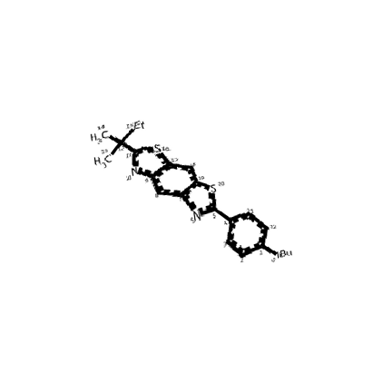 CCC(C)c1ccc(-c2nc3cc4nc(C(C)(C)CC)sc4cc3s2)cc1